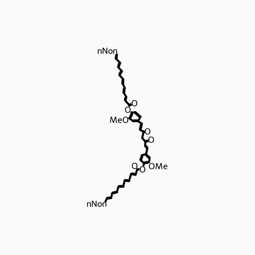 CCCCCCCCCC=CC=CC=CC=CC=CC=CC(=O)Oc1ccc(C=CC(=O)CC(=O)C=Cc2ccc(OC(=O)C=CC=CC=CC=CC=CCCCCCCCCC)c(OC)c2)cc1OC